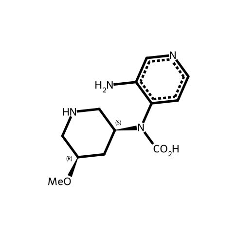 CO[C@H]1CNC[C@@H](N(C(=O)O)c2ccncc2N)C1